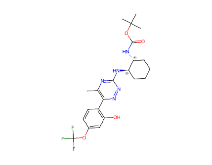 Cc1nc(N[C@@H]2CCCC[C@H]2NC(=O)OC(C)(C)C)nnc1-c1ccc(OC(F)(F)F)cc1O